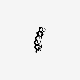 Cc1cc2c(nn1)OC(Cc1cc3c(cn1)OCC3)C2